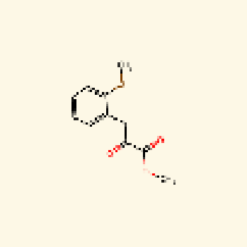 COC(=O)C(=O)Cc1ccccc1SC